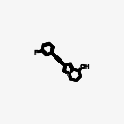 OC1CCCn2cc(C#Cc3cccc(F)c3)cc21